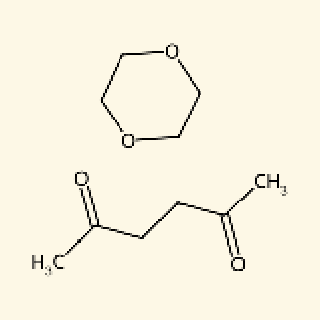 C1COCCO1.CC(=O)CCC(C)=O